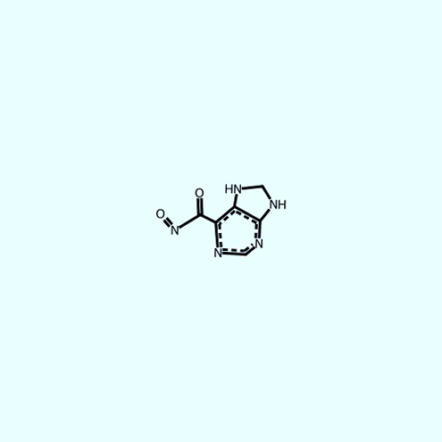 O=NC(=O)c1ncnc2c1NCN2